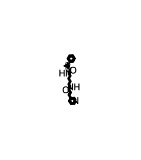 O=C(C=Cc1cccnc1)NCCCCNC(=O)[C@@H]1C[C@H]1c1ccccc1